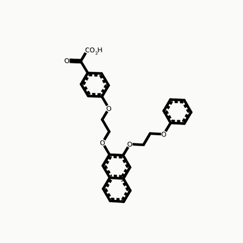 O=C(O)C(=O)c1ccc(OCCOc2cc3ccccc3cc2OCCOc2ccccc2)cc1